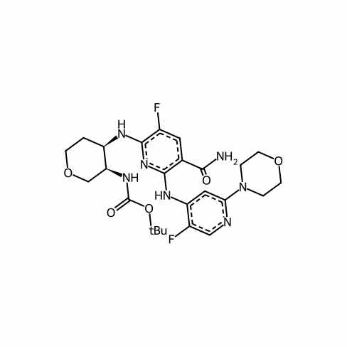 CC(C)(C)OC(=O)N[C@H]1COCC[C@H]1Nc1nc(Nc2cc(N3CCOCC3)ncc2F)c(C(N)=O)cc1F